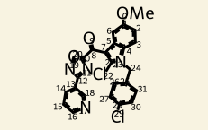 COc1ccc2c(c1)c(C(=O)c1nc(-c3cccnc3)no1)c(Cl)n2Cc1ccc(Cl)cc1